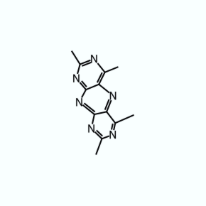 Cc1nc(C)c2nc3c(C)nc(C)nc3nc2n1